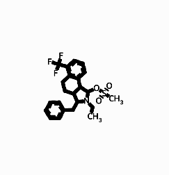 CCN1C(Cc2ccccc2)C2CCc3c(cccc3C(F)(F)F)C2C1OS(C)(=O)=O